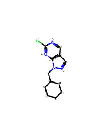 Clc1ncc2cnn(CC3CCCCC3)c2n1